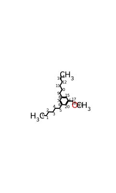 CCCCCCc1cc(CCCCCC)cc(COC)c1